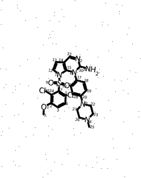 COc1ccc(Cl)c(S(=O)(=O)n2ccc3c2N(c2ccc(N4CCN(C)CC4)cc2)C(N)N=C3)c1Cl